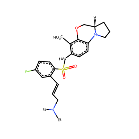 CCN(CC)CC=Cc1cc(F)ccc1S(=O)(=O)[AsH]c1ccc2c(c1C(=O)O)OC[C@@H]1CCCN21